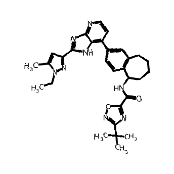 CCn1nc(-c2nc3nccc(-c4ccc5c(c4)CCCCC5NC(=O)c4nc(C(C)(C)C)no4)c3[nH]2)cc1C